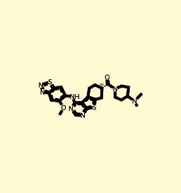 COc1cc2nnsc2cc1Nc1ncnc2sc3c(c12)CC[C@H](C(=O)N1CCC(N(C)C)CC1)C3